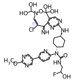 COc1ncc(-c2ccc(N(C(=O)NCC(O)F)[C@H]3CC[C@H](Nc4ncc5c(n4)C(=N)/C(Cl)=C\N(C(O)O)OC5(O)O)CC3)nc2)cn1